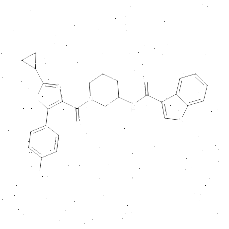 O=C(NC1CCCN(C(=O)c2nc(C3CC3)sc2-c2ccc(F)cc2)C1)c1c[nH]c2ccccc12